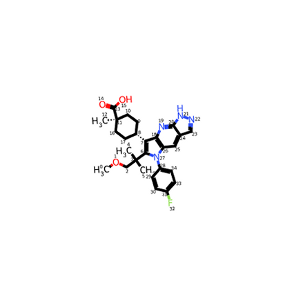 COCC(C)(C)c1c([C@H]2CC[C@](C)(C(=O)O)CC2)c2nc3[nH]ncc3cc2n1-c1ccc(F)cc1